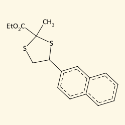 CCOC(=O)C1(C)SCC(c2ccc3ccccc3c2)S1